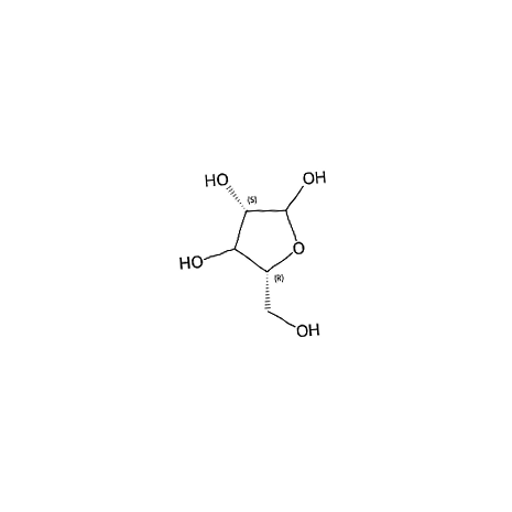 OC[C@H]1OC(O)[C@@H](O)C1O